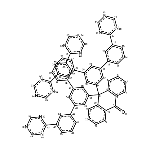 O=C1c2ccccc2C(c2cc(-c3cccc(-c4ncncn4)c3)cc(-c3cccc(-c4ncncn4)c3)c2)(c2cc(-c3cccc(-c4ncncn4)c3)cc(-c3cccc(-c4ncncn4)c3)c2)c2ccccc21